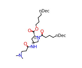 CCCCCCCCCCCCCCOC(=O)[C@@H]1C[C@@H](NC(=O)CCN(C)C)CN1C(=O)CCCCCCCCCCCCC